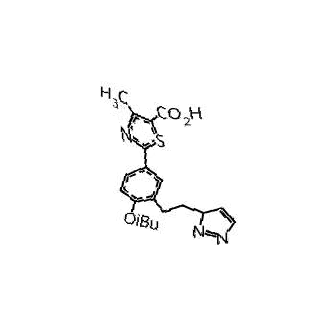 Cc1nc(-c2ccc(OCC(C)C)c(CCC3C=CN=N3)c2)sc1C(=O)O